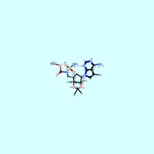 CC(C)(C)OC(=O)N(C[C@H]1C[C@@H](n2cc(I)c3c(N)ncnc32)[C@@H]2OC(C)(C)O[C@H]12)S(N)(=O)=O